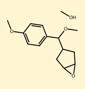 CO.COc1ccc(C(OC)C2CC3OC3C2)cc1